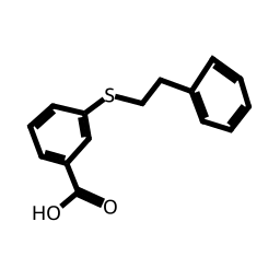 O=C(O)c1cccc(SCCc2ccccc2)c1